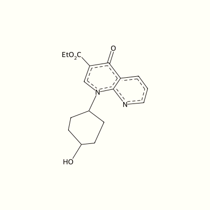 CCOC(=O)c1cn(C2CCC(O)CC2)c2ncccc2c1=O